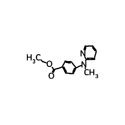 CCOC(=O)c1ccc(N(C)c2ccccn2)cc1